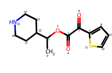 CC(OC(=O)C(=O)c1cccs1)C1CCNCC1